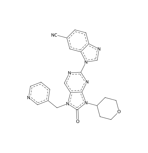 N#Cc1ccc2ncn(-c3ncc4c(n3)n(C3CCOCC3)c(=O)n4Cc3cccnc3)c2c1